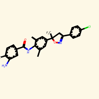 Cc1cc(C2(C(F)(F)F)CC(c3ccc(Cl)cc3)=NO2)cc(C)c1NC(=O)c1ccc(C#N)c(N)c1